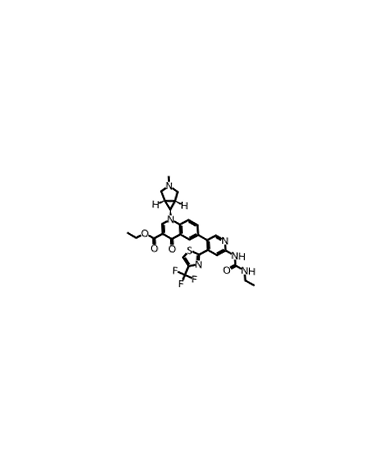 CCNC(=O)Nc1cc(-c2nc(C(F)(F)F)cs2)c(-c2ccc3c(c2)c(=O)c(C(=O)OCC)cn3[C@H]2[C@@H]3CN(C)C[C@@H]32)cn1